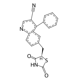 N#Cc1cnc2ccc(C[C@H]3SC(=O)NC3=O)cc2c1-c1ccccc1